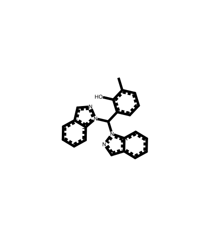 Cc1cccc(C(n2ncc3ccccc32)n2ncc3ccccc32)c1O